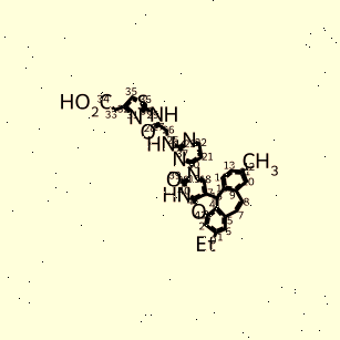 CCc1ccc2c(c1)C=Cc1cc(C)ccc1C2c1cn(-c2ccnc(NCC(=O)Nc3nc(CC(=O)O)cs3)n2)c(=O)[nH]c1=O